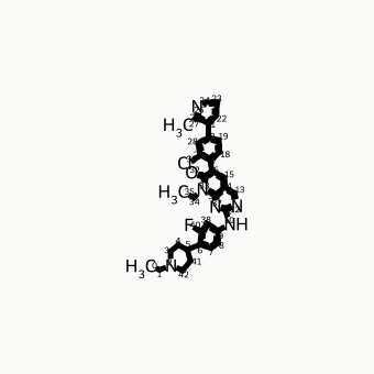 CCN1CCC(c2ccc(Nc3ncc4cc(-c5ccc(-c6cccnc6C)cc5Cl)c(=O)n(CC)c4n3)cc2F)CC1